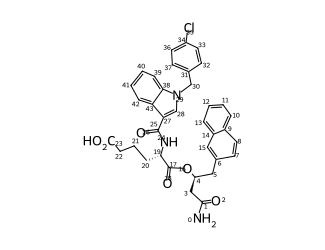 NC(=O)C[C@H](Cc1ccc2ccccc2c1)OC(=O)[C@H](CCCC(=O)O)NC(=O)c1cn(Cc2ccc(Cl)cc2)c2ccccc12